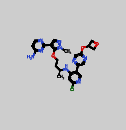 C[C@@H](CCOc1c(-c2nccc(N)n2)cnn1C)Nc1cc(Cl)ncc1-c1cnc(OC2COC2)cn1